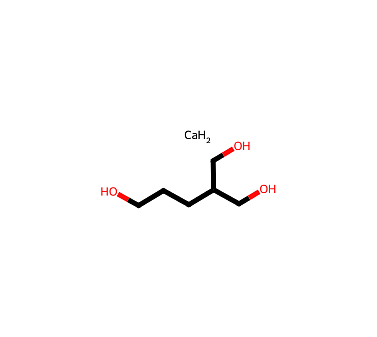 OCCCC(CO)CO.[CaH2]